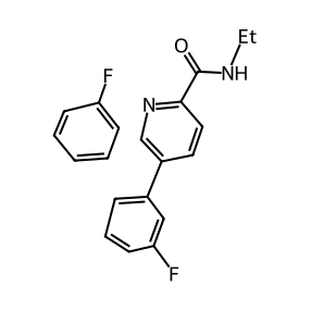 CCNC(=O)c1ccc(-c2cccc(F)c2)cn1.Fc1ccccc1